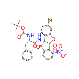 CC(C)(C)OC(=O)N[C@@H](Cc1ccccc1)C(=O)N[C@@]12C(=O)c3cccc([N+](=O)[O-])c3[C@]1(O)Oc1cc(Br)ccc12